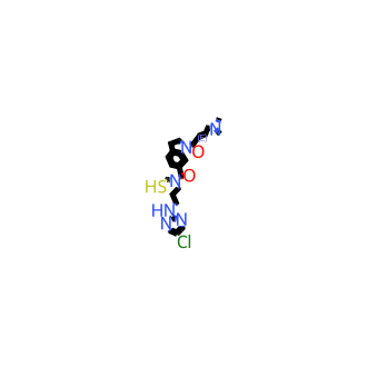 CN(C)C/C=C/C(=O)N1CCc2ccc(C(=O)N(CS)CCCNc3ncc(Cl)cn3)cc21